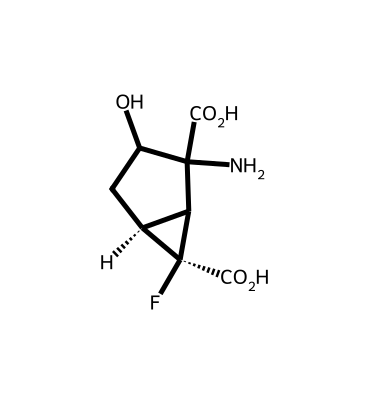 NC1(C(=O)O)C(O)C[C@H]2C1[C@]2(F)C(=O)O